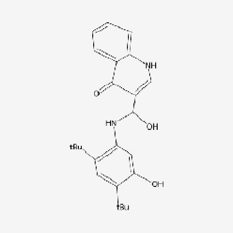 CC(C)(C)c1cc(C(C)(C)C)c(NC(O)c2c[nH]c3ccccc3c2=O)cc1O